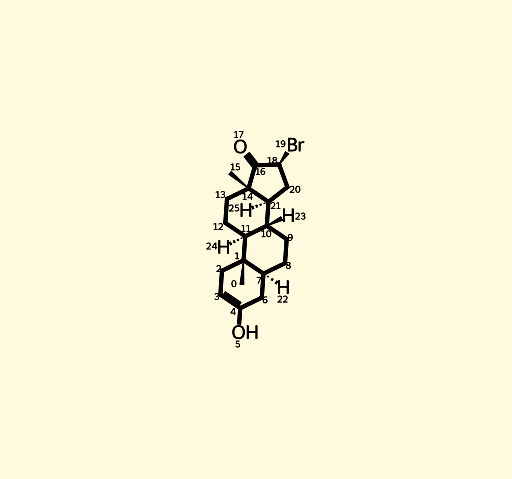 C[C@]12CC=C(O)C[C@@H]1CC[C@@H]1[C@@H]2CC[C@]2(C)C(=O)[C@@H](Br)C[C@@H]12